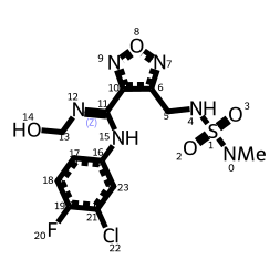 CNS(=O)(=O)NCc1nonc1/C(=N/CO)Nc1ccc(F)c(Cl)c1